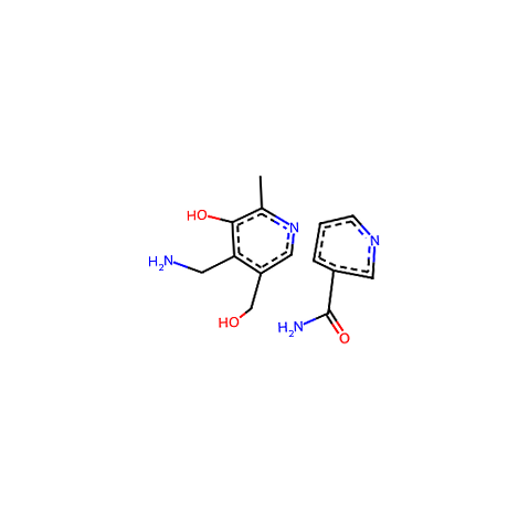 Cc1ncc(CO)c(CN)c1O.NC(=O)c1cccnc1